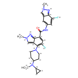 Cn1cc2cc(NC(=O)c3cc(F)c(N4CCC(N(C(=O)O)C5CC5)CC4)c4cn(C)nc34)cc(F)c2n1